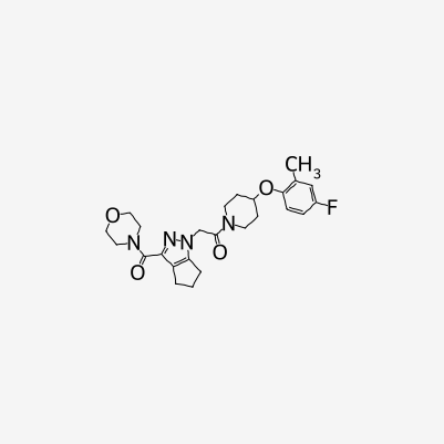 Cc1cc(F)ccc1OC1CCN(C(=O)Cn2nc(C(=O)N3CCOCC3)c3c2CCC3)CC1